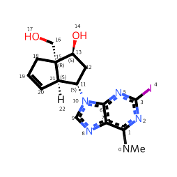 CNc1nc(I)nc2c1ncn2[C@H]1C[C@H](O)[C@]2(CO)CC=C[C@H]12